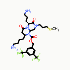 CSCCCN1CC2N(C(=O)OCc3cc(C(F)(F)F)cc(C(F)(F)F)c3)C(CCCCN)CC(=O)N2[C@@H](CCCN)C1=O